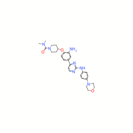 CN(C)C(=O)N1CCC(Oc2ccc(-c3ccnc(Nc4ccc(N5CCOCC5)cc4)n3)cc2N)CC1